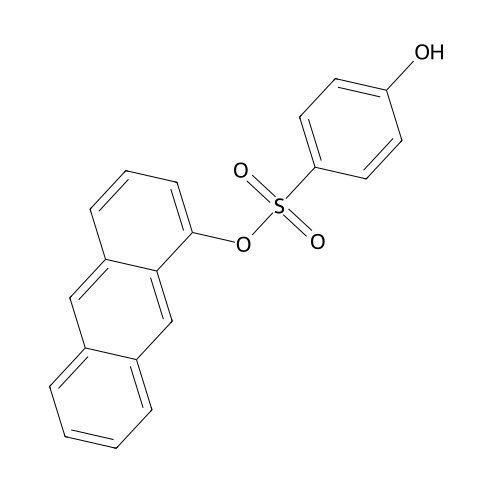 O=S(=O)(Oc1cccc2cc3ccccc3cc12)c1ccc(O)cc1